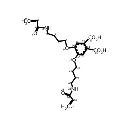 C=CC(=O)NCCCCOc1cc(C(=O)O)c(C(=O)O)cc1OCCCCNC(=O)C=C